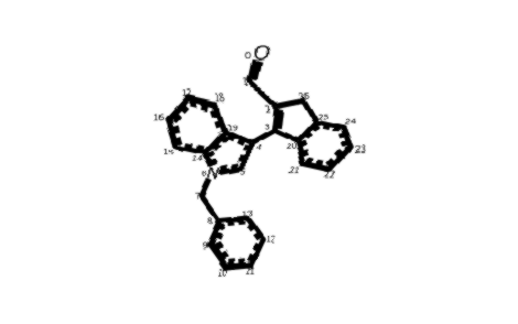 O=CC1=C(c2cn(Cc3ccccc3)c3ccccc23)c2ccccc2C1